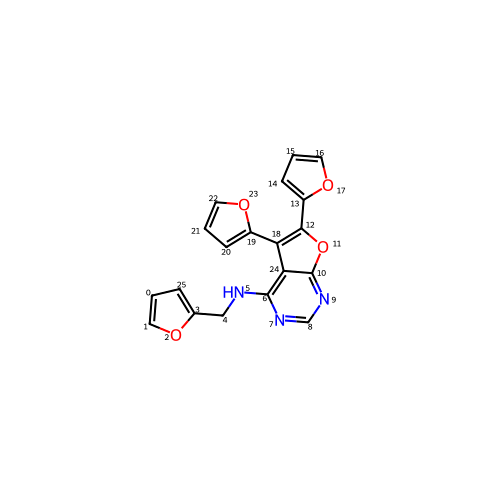 c1coc(CNc2ncnc3oc(-c4ccco4)c(-c4ccco4)c23)c1